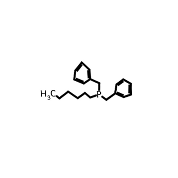 CCCCCCP(Cc1ccccc1)Cc1ccccc1